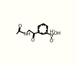 CC(=O)NCC(=O)c1cccc([NH+]([O-])O)c1